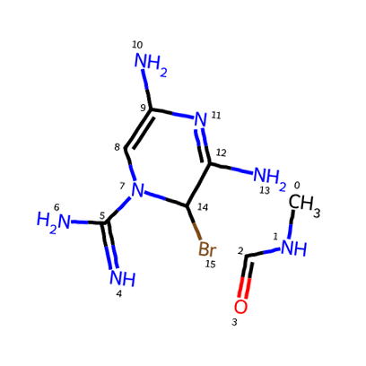 CNC=O.N=C(N)N1C=C(N)N=C(N)C1Br